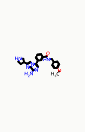 COc1ccc(CNC(=O)c2cccc(-c3cnc(N)c4nc(C5CCNC5)cn34)c2)cc1